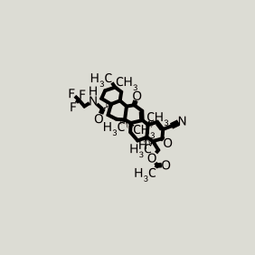 CC(=O)OC[C@]1(C)C(=O)C(C#N)=C[C@]2(C)C3=CC(=O)C4C5CC(C)(C)CC[C@]5(C(=O)NCC(F)(F)F)CC[C@@]4(C)[C@]3(C)CC[C@H]21